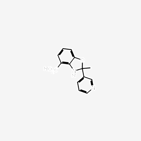 CC1(c2cccnc2)Nc2c(cccc2C(=O)O)O1